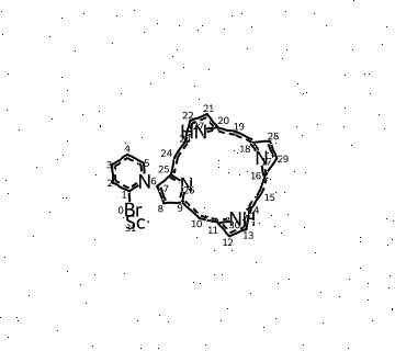 Brc1ccccn1.C1=Cc2cc3ccc(cc4nc(cc5ccc(cc1n2)[nH]5)C=C4)[nH]3.[Sc]